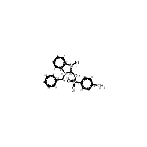 CCN1c2ccccc2N(Cc2ccccc2)C1OS(=O)(=O)c1ccc(C)cc1